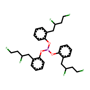 FCCC(F)Cc1ccccc1OP(Oc1ccccc1CC(F)CCF)Oc1ccccc1CC(F)CCF